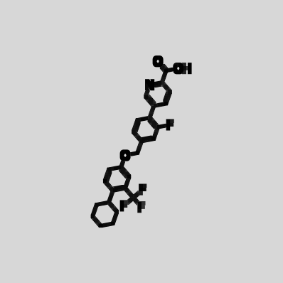 O=C(O)c1ccc(-c2ccc(COc3ccc(C4CCCCC4)c(C(F)(F)F)c3)cc2F)cn1